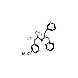 CC[C@@H](c1cccc(OC)c1)[C@@H](C)C(=O)N(Cc1ccccc1)Cc1ccccc1